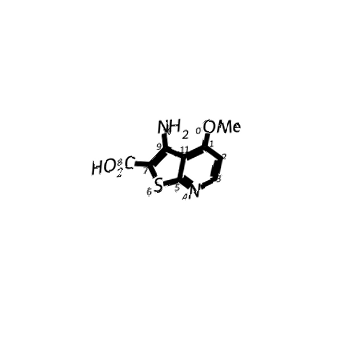 COc1ccnc2sc(C(=O)O)c(N)c12